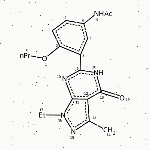 CCCOc1ccc(NC(C)=O)cc1-c1nc2c(c(C)nn2CC)c(=O)[nH]1